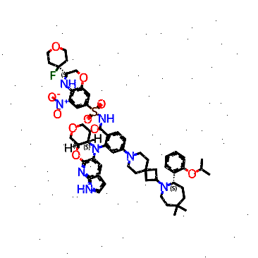 CC(C)Oc1ccccc1[C@@H]1CCC(C)(C)CCN1C1CC2(CCN(c3ccc(C(=O)NS(=O)(=O)c4cc5c(c([N+](=O)[O-])c4)N[C@H](C4(F)CCOCC4)CO5)c(N4c5cc6cc[nH]c6nc5O[C@H]5COCC[C@@H]54)c3)CC2)C1